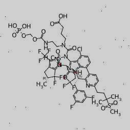 C[C@@H]1Cc2c(C(F)(F)F)nn(CC(=O)N[C@@H](Cc3cc(F)cc(F)c3)c3nc(CCC(C)(C)S(C)(=O)=O)ccc3-c3ccc(Cl)c4c(N(C(=O)N(CCCC(=O)O)CCNC(=O)OCOP(=O)(O)O)S(C)(=O)=O)nn(CC(F)(F)F)c34)c2C1(F)F